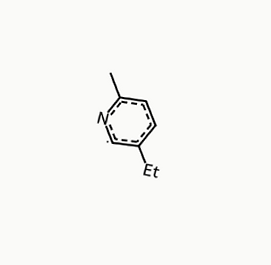 CCc1[c]nc(C)cc1